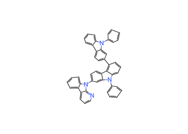 c1ccc(-n2c3ccccc3c3ccc(-c4cccc5c4c4ccc(-n6c7ccccc7c7cccnc76)cc4n5-c4ccccc4)cc32)cc1